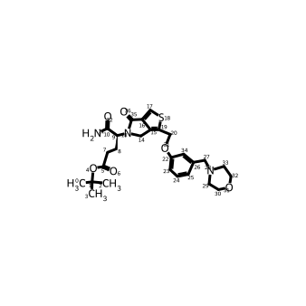 CC(C)(C)OC(=O)CC[C@@H](C(N)=O)N1Cc2c(csc2COc2cccc(CN3CCOCC3)c2)C1=O